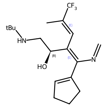 C=N/C(C1=CCCC1)=C(\C=C(/C)C(F)(F)F)[C@@H](O)CNC(C)(C)C